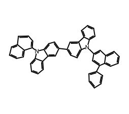 c1ccc(-c2cc(-n3c4ccccc4c4cc(-c5ccc6c(c5)c5ccccc5n6-c5cccc6ccccc56)ccc43)cc3ccccc23)cc1